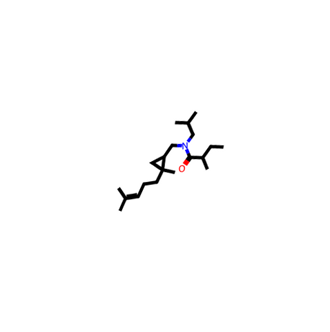 CCC(C)C(=O)N(CC(C)C)CC1CC1(C)CCC=C(C)C